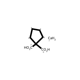 O=C(O)C1(C(=O)O)CCCC1.[CaH2]